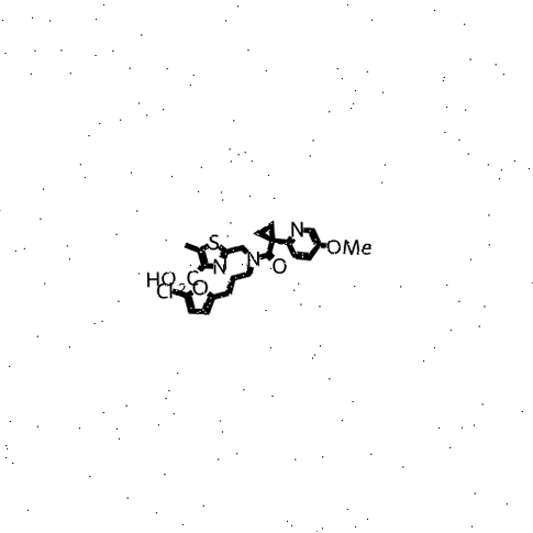 COc1ccc(C2(C(=O)N(CCCc3ccc(Cl)o3)Cc3nc(C(=O)O)c(C)s3)CC2)nc1